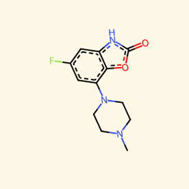 CN1CCN(c2cc(F)cc3[nH]c(=O)oc23)CC1